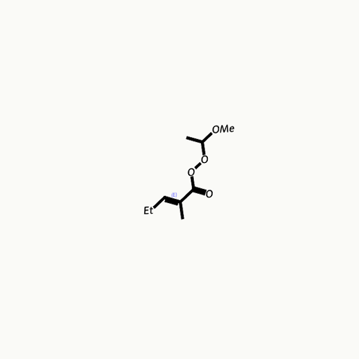 CC/C=C(\C)C(=O)OOC(C)OC